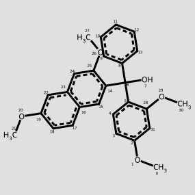 COc1ccc(C(O)(c2ccccc2)c2cc3ccc(OC)cc3cc2OC)c(OC)c1